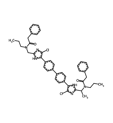 CCCN(Cc1nc(Cl)c(-c2ccc(-c3ccc(-c4[nH]c(C(C)N(CCC)C(=O)Cc5ccccc5)nc4Cl)cc3)cc2)[nH]1)C(=O)Cc1ccccc1